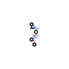 Cc1cc(NC2CCC(NC(=O)Nc3ccccc3Oc3ccccc3)CC2)nc2ccccc12